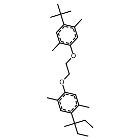 CCC(C)(CC)c1cc(C)c(OCCOc2cc(C)c(C(C)(C)C)cc2C)cc1C